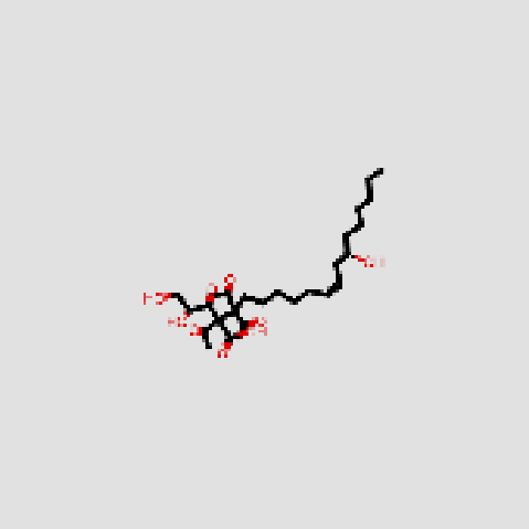 CCCCCC[C@@H](O)C/C=C\CCCCCC(C(C)=O)(C(C)=O)C(C(C)=O)(C(=O)O)C(=O)C(O)CO